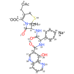 CC(=O)OCC1=C(C(=O)[O-])N2C(=O)C(NC(=O)C(NC(=O)c3cnc4cccnc4c3O)c3ccccc3)[C@H]2SC1.[Na+]